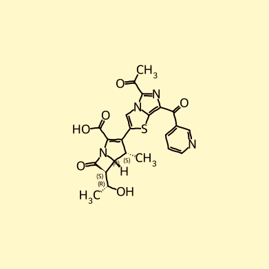 CC(=O)c1nc(C(=O)c2cccnc2)c2sc(C3=C(C(=O)O)N4C(=O)[C@H]([C@@H](C)O)[C@H]4[C@H]3C)cn12